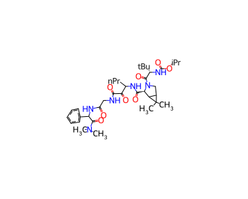 CCCC(NC(=O)[C@@H]1C2C(CN1C(=O)[C@@H](NC(=O)OC(C)C)C(C)(C)C)C2(C)C)C(=O)C(=O)NCC(=O)NC(C(=O)N(C)C)c1ccccc1